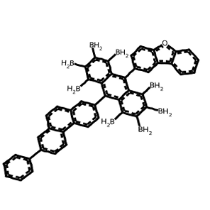 Bc1c(B)c(B)c2c(-c3ccc4oc5ccccc5c4c3)c3c(B)c(B)c(B)c(B)c3c(-c3ccc4c(ccc5cc(-c6ccccc6)ccc54)c3)c2c1B